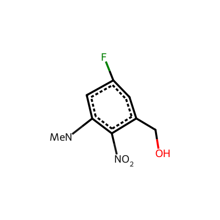 CNc1cc(F)cc(CO)c1[N+](=O)[O-]